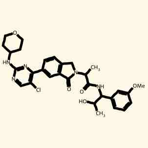 COc1cccc(C(NC(=O)C(C)N2Cc3ccc(-c4nc(NC5CCOCC5)ncc4Cl)cc3C2=O)C(C)O)c1